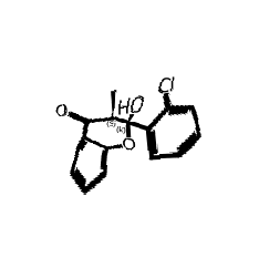 C[C@@H]1C(=O)c2ccccc2O[C@@]1(O)c1ccccc1Cl